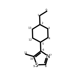 CCC1CCC(c2ncsc2C)CC1